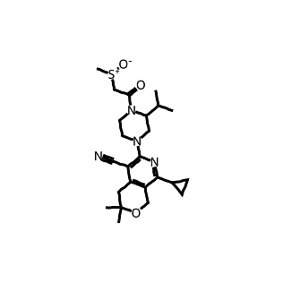 CC(C)C1CN(c2nc(C3CC3)c3c(c2C#N)CC(C)(C)OC3)CCN1C(=O)C[S+](C)[O-]